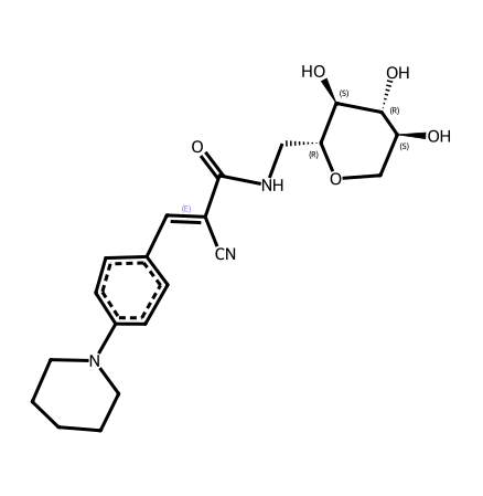 N#C/C(=C\c1ccc(N2CCCCC2)cc1)C(=O)NC[C@H]1OC[C@H](O)[C@@H](O)[C@@H]1O